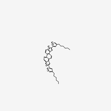 CCCCCCc1csc(-c2cc3c(ccc4c3ccc3c5cc(-c6cc(CCCCCC)cs6)sc5ccc34)s2)c1